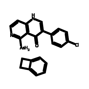 O=c1c(-c2ccc(Cl)cc2)c[nH]c2ccnc([AsH2])c12.c1ccc2c(c1)CC2